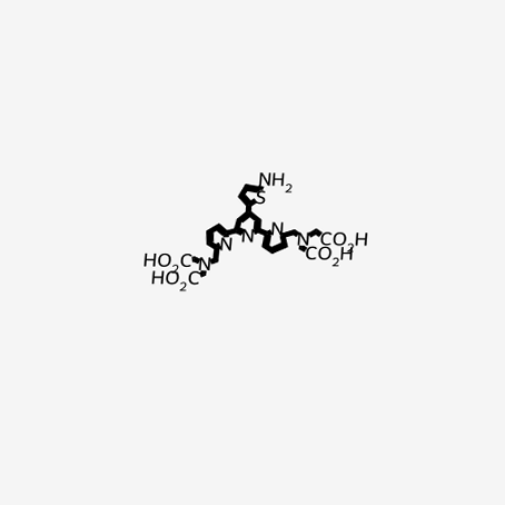 Nc1ccc(-c2cc(-c3cccc(CN(CC(=O)O)CC(=O)O)n3)nc(-c3cccc(CN(CC(=O)O)CC(=O)O)n3)c2)s1